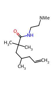 C=CCC(C)CC(C)(C)C(=O)NCCNC